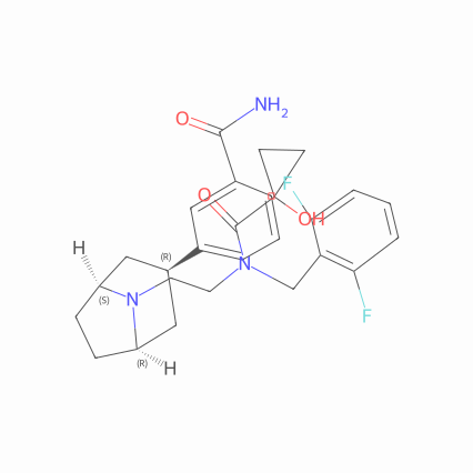 NC(=O)c1cccc([C@H]2C[C@H]3CC[C@@H](C2)N3CCN(Cc2c(F)cccc2F)C(=O)C2(O)CC2)c1